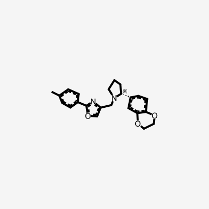 Cc1ccc(-c2nc(CN3CCC[C@@H]3c3ccc4c(c3)OCCO4)co2)cc1